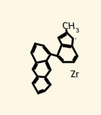 CC1=Cc2c(cccc2-c2cccc3cc4ccccc4cc23)[CH]1.[Zr]